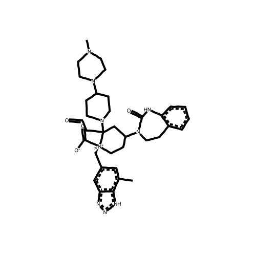 Cc1cc(C[N@+]2(C(=O)[O-])CCC(N3CCc4ccccc4NC3=O)CC2(CC=O)N2CCC(N3CCN(C)CC3)CC2)cc2nn[nH]c12